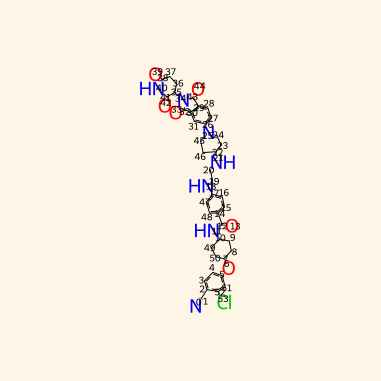 N#Cc1ccc(O[C@H]2CC[C@H](NC(=O)c3ccc(NCCNC4CCN(c5ccc6c(c5)C(=O)N(C5CCC(=O)NC5=O)C6=O)CC4)cc3)CC2)cc1Cl